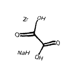 O=C(O)C(=O)O.[NaH].[Zr]